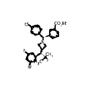 CCOC(=O)c1cccc([C@H](c2ccc(Cl)cc2)N2CC([C@@H](c3cc(F)cc(Br)c3)C(C)(C)F)C2)c1